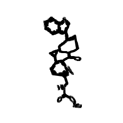 CC(C)(C)OC(=O)NCc1ccc(C2CC2)c(C(=O)C2CCC(c3csc4ccccc34)CC2)n1